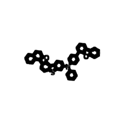 c1ccc(N(c2ccc(-c3cccc4c3oc3ccccc34)cc2)c2ccc3c(c2)sc2ccc4c(oc5ccc6ccccc6c54)c23)cc1